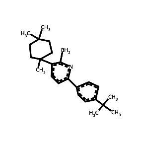 Bc1nc(-c2ccc(C(C)(C)C)cc2)ccc1C1(C)CCC(C)(C)CC1